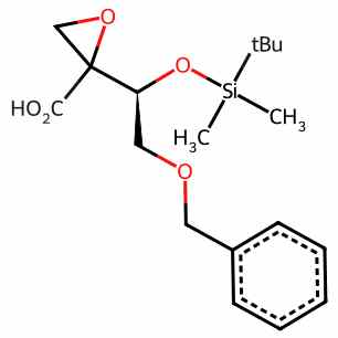 CC(C)(C)[Si](C)(C)O[C@@H](COCc1ccccc1)C1(C(=O)O)CO1